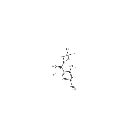 Cc1nc(C#N)cc(Cl)c1C(=O)N1CC(F)(F)C1